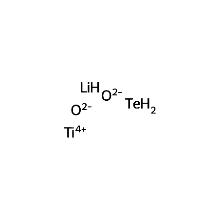 [LiH].[O-2].[O-2].[TeH2].[Ti+4]